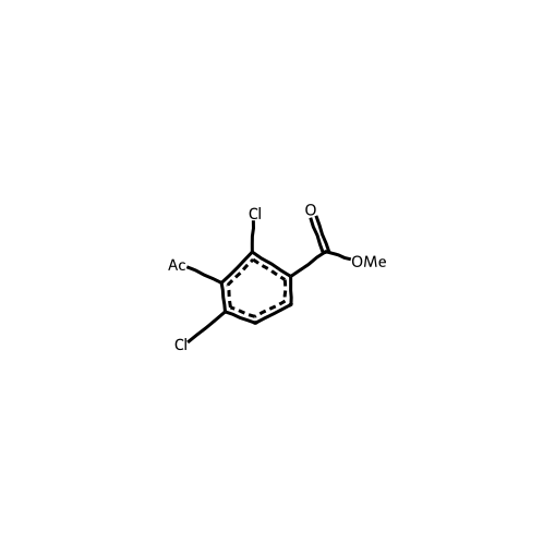 COC(=O)c1ccc(Cl)c(C(C)=O)c1Cl